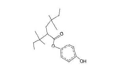 CCC(C)(C)CC(C(=O)Oc1ccc(O)cc1)C(C)(C)CC